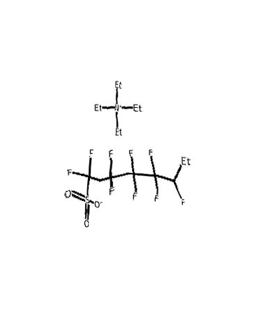 CCC(F)C(F)(F)C(F)(F)C(F)(F)C(F)(F)S(=O)(=O)[O-].CC[N+](CC)(CC)CC